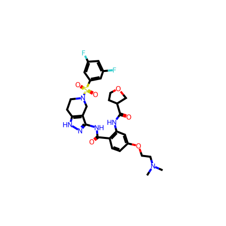 CN(C)CCOc1ccc(C(=O)Nc2n[nH]c3c2CN(S(=O)(=O)c2cc(F)cc(F)c2)CC3)c(NC(=O)C2CCOC2)c1